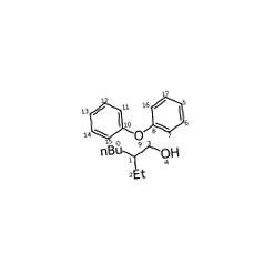 CCCCC(CC)CO.c1ccc(Oc2ccccc2)cc1